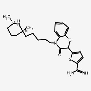 C[C@H]1CCC[C@@](C)(CCCCCN2C(=O)C(c3ccc(C(=N)N)s3)Oc3ccccc32)N1